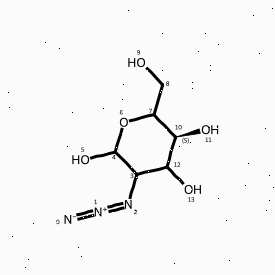 [N-]=[N+]=NC1C(O)OC(CO)[C@@H](O)C1O